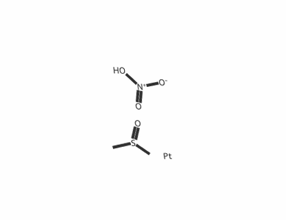 CS(C)=O.O=[N+]([O-])O.[Pt]